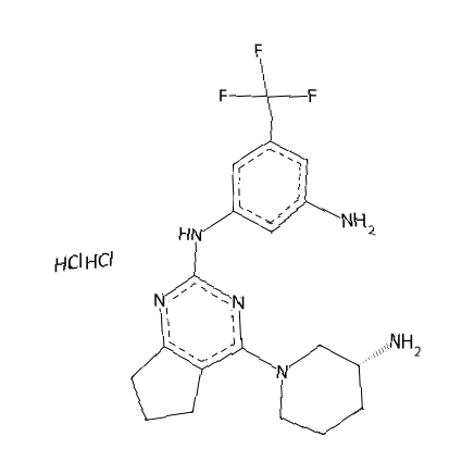 Cl.Cl.Nc1cc(Nc2nc3c(c(N4CCC[C@@H](N)C4)n2)CCC3)cc(C(F)(F)F)c1